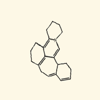 C1=CC2=CCC3=C4C(=CN5CCCCC5=C4CCC3)C2CC1